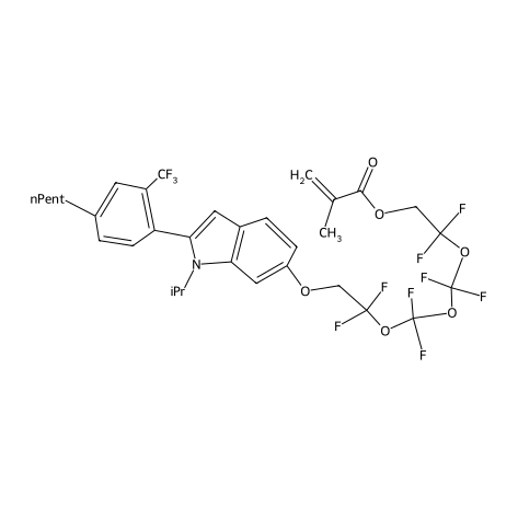 C=C(C)C(=O)OCC(F)(F)OC(F)(F)OC(F)(F)OC(F)(F)COc1ccc2cc(-c3ccc(CCCCC)cc3C(F)(F)F)n(C(C)C)c2c1